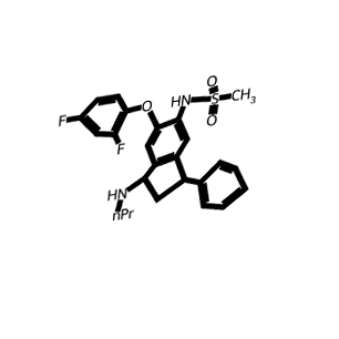 CCCNC1CC(c2ccccc2)c2cc(NS(C)(=O)=O)c(Oc3ccc(F)cc3F)cc21